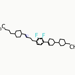 CCCCC1CCC(/C=C/CCc2ccc(C3=CCC(C4CCC(CC)CC4)CC3)c(F)c2F)CC1